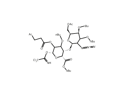 CCCCOC(=O)[C@@H]1O[C@H](OC(=N)C(Cl)(Cl)Cl)C(OC(=O)CCC(C)=O)C(OCCCC)[C@@H]1O[C@H]1O[C@@H](COC(C)=O)[C@@H](OCCCC)C(OCCCC)C1N=[N+]=[N-]